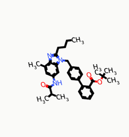 CCCCc1nc2c(C)cc(NC(=O)C(C)C)cc2n1Cc1ccc(-c2ccccc2C(=O)OC(C)(C)C)cc1